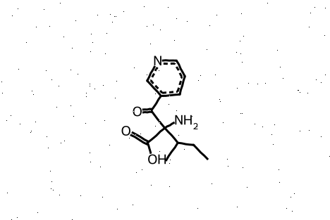 CCC(C)C(N)(C(=O)O)C(=O)c1cccnc1